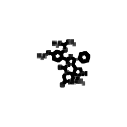 COc1ccc(C2=N[C@H](c3ccccc3)[C@H]([C@H]3CNN(C)C3)N2C(=O)N2CCNC(=O)C2)c(OC(C)C)c1